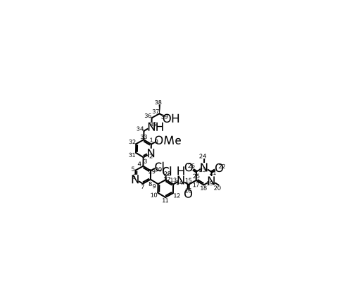 COc1nc(-c2cncc(-c3cccc(NC(=O)c4cn(C)c(=O)n(C)c4=O)c3Cl)c2Cl)ccc1CNC[C@@H](C)O